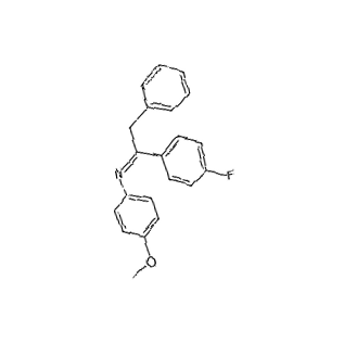 COc1ccc(/N=C(/Cc2ccccc2)c2ccc(F)cc2)cc1